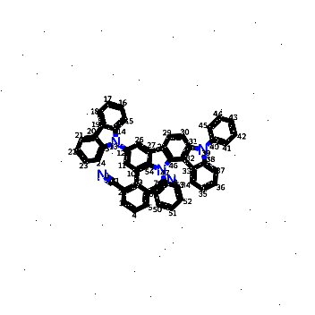 N#Cc1cccc(C#N)c1-c1cc(-n2c3ccccc3c3ccccc32)cc2c3ccc4c(c5ccccc5n4-c4ccccc4)c3n(-c3ccccc3)c12